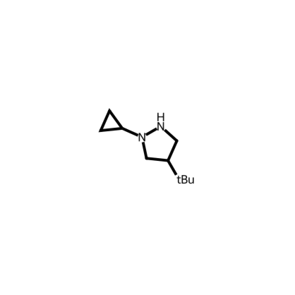 CC(C)(C)C1CNN(C2CC2)C1